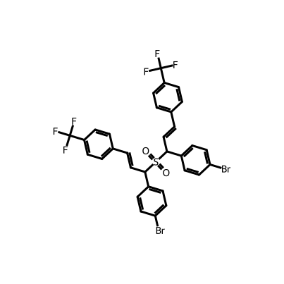 O=S(=O)(C(C=Cc1ccc(C(F)(F)F)cc1)c1ccc(Br)cc1)C(C=Cc1ccc(C(F)(F)F)cc1)c1ccc(Br)cc1